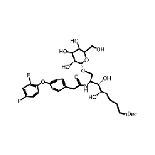 CCCCCCCCCCCCCC[C@@H](O)[C@@H](O)[C@H](CO[C@H]1OC(CO)[C@H](O)C(O)[C@@H]1O)NC(=O)Cc1ccc(Oc2ccc(F)cc2F)cc1